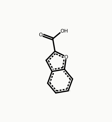 O=C(O)c1cc2cc[c]cc2o1